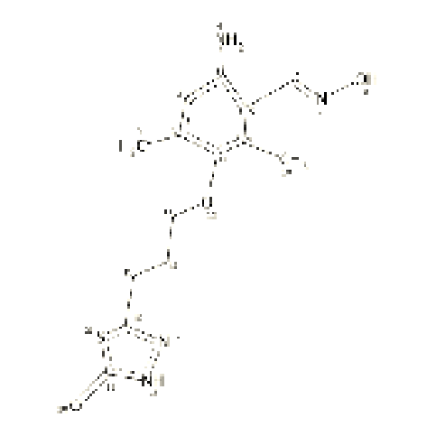 Cc1cc(N)c(C=NO)c(C)c1OCCCc1n[nH]c(=O)s1